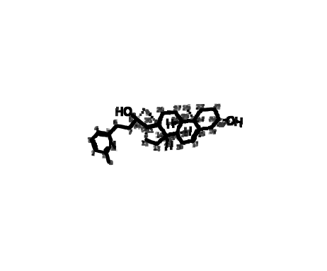 Cc1cccc(CC[C@@](C)(O)[C@H]2CC[C@H]3[C@@H]4CC=C5C[C@@H](O)CC[C@]5(C)[C@H]4CC[C@@]32C)n1